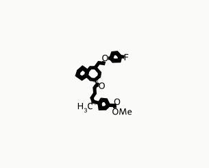 COC(=O)c1ccc([C@H](C)CCCC(=O)[C@@H]2CCC(CCOc3ccc(F)cc3)Cc3ccccc3C2)cc1